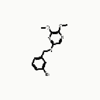 COc1ncc(SCc2cccc(Br)c2)nc1OC